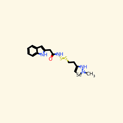 CN1NC(CCSSNC(=O)Cc2cc3ccccc3[nH]2)=C[Se]1